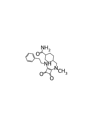 CN(CC1CCC(C(N)=O)CC1)c1c(NCCc2ccccc2)c(=O)c1=O